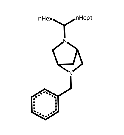 CCCCCCCC(CCCCCC)N1CC2CC1CN2Cc1ccccc1